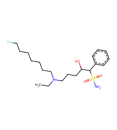 CCN(CCCCCCCF)CCCC(O)C(c1ccccc1)S(N)(=O)=O